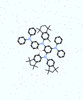 Cc1cc2c(cc1N1c3cc(N(c4ccccc4)c4ccccc4)ccc3B3c4cc5c(cc4N(c4ccc6c(c4)C(C)(C)CC6(C)C)c4cc(N(c6ccccc6)c6ccccc6)cc1c43)C(C)(C)CC5(C)C)C(C)(C)CCC2(C)C